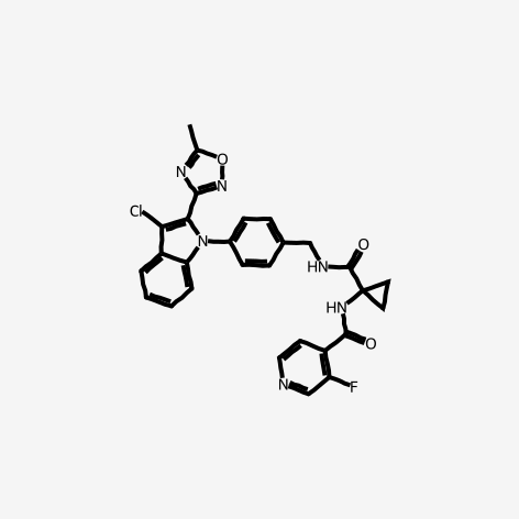 Cc1nc(-c2c(Cl)c3ccccc3n2-c2ccc(CNC(=O)C3(NC(=O)c4ccncc4F)CC3)cc2)no1